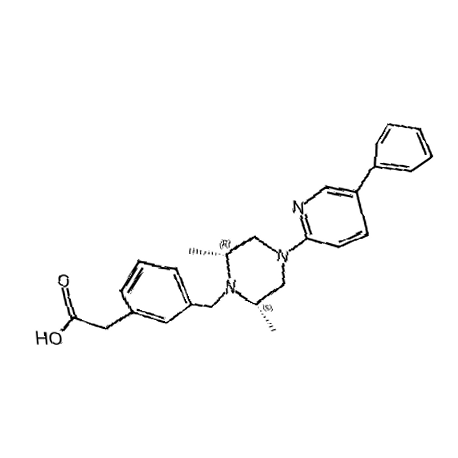 C[C@@H]1CN(c2ccc(-c3ccccc3)cn2)C[C@H](C)N1Cc1cccc(CC(=O)O)c1